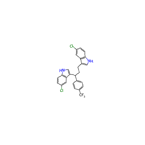 FC(F)(F)c1ccc(C(CCc2c[nH]c3ccc(Cl)cc23)c2c[nH]c3ccc(Cl)cc23)cc1